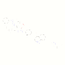 C=C/C(C(=O)Nc1ccc(Oc2ccnc3cc(OC[C@@H]4CCC5(CC5)N4C)ccc23)c(F)c1)=C(/C)N(C)N(C)c1ccccc1